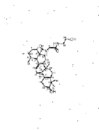 C[C@@H]1CC[C@]2(C(=O)NCC(=O)NCCO)CC[C@]3(C)C(=CCC4[C@@]5(C)CC[C@H](O)C(C)(C)C5CC[C@]43C)C2[C@H]1C